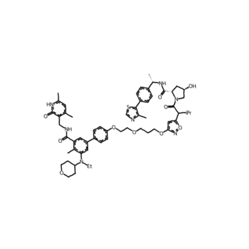 CCN(c1cc(-c2ccc(OCCOCCCOc3cc(C(C(=O)N4C[C@H](O)C[C@H]4C(=O)N[C@@H](C)c4ccc(-c5scnc5C)cc4)C(C)C)on3)cc2)cc(C(=O)NCc2c(C)cc(C)[nH]c2=O)c1C)C1CCOCC1